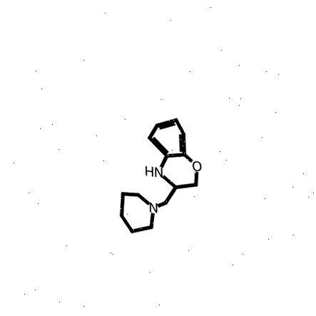 c1ccc2c(c1)NC(CN1CCCCC1)CO2